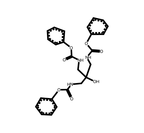 O=C(NCC(O)(CNC(=O)Oc1ccccc1)CNC(=O)Oc1ccccc1)Oc1ccccc1